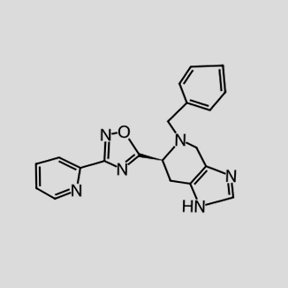 c1ccc(CN2Cc3nc[nH]c3C[C@H]2c2nc(-c3ccccn3)no2)cc1